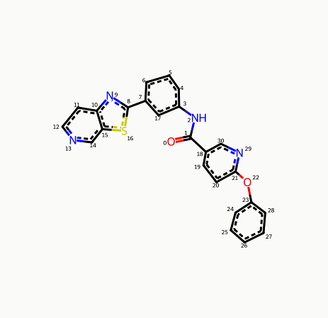 O=C(Nc1cccc(-c2nc3ccncc3s2)c1)c1ccc(Oc2ccccc2)nc1